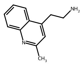 Cc1cc(CCN)c2ccccc2n1